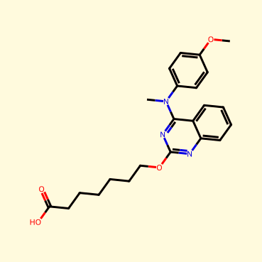 COc1ccc(N(C)c2nc(OCCCCCCC(=O)O)nc3ccccc23)cc1